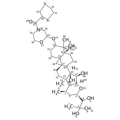 C[C@@H]1C[C@H](C(O)C(C)(C)O)O[C@H]2C1[C@@]1(C)CC[C@@]34CC35CCC(OC3CN(C(=O)C6CCCCC6)CCO3)C(C)(C)[C@@H]5CC[C@H]4[C@]1(C)[C@H]2O